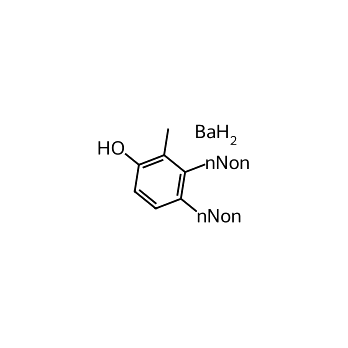 CCCCCCCCCc1ccc(O)c(C)c1CCCCCCCCC.[BaH2]